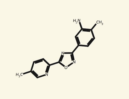 Cc1ccc(-c2nc(-c3ccc(C)c(N)c3)no2)nc1